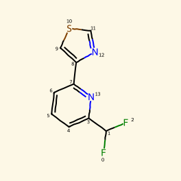 FC(F)c1cccc(-c2cscn2)n1